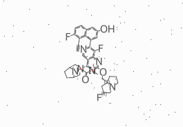 C#Cc1c(F)ccc2cc(O)cc(-c3ncc4c(N5CC6CCC(C5)N6CC(=O)N(C)C)nc(OC[C@@]56CCCN5C[C@H](F)C6)nc4c3F)c12